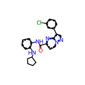 O=C(Nc1ccccc1NC1CCCC1)c1ccn2ncc(-c3cccc(Cl)c3)c2n1